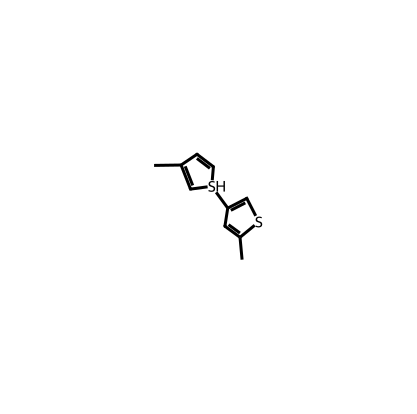 CC1=C[SH](c2csc(C)c2)C=C1